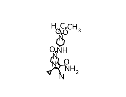 CC(C)OC(=O)N1CCC(NC(=O)N2CCn3c(c(C(N)=O)c(C#N)c3C3CC3)C2)CC1